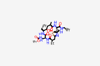 CCC(Cc1nc(C)cs1)C(=O)NC(CNC(=O)OC(C)C)C(=O)NC(CC(C)C)C(O)CC(C)C(=O)NC(C(=O)NCC(C)C)C(C)C